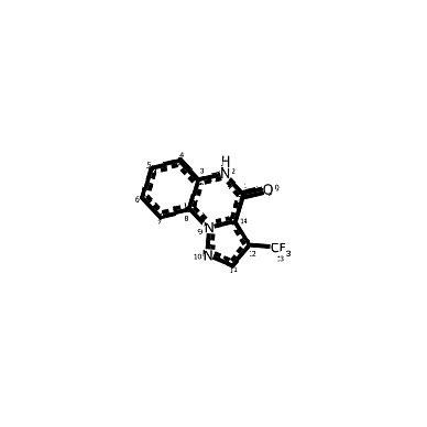 O=c1[nH]c2ccccc2n2ncc(C(F)(F)F)c12